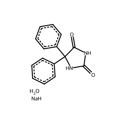 O.O=C1NC(=O)C(c2ccccc2)(c2ccccc2)N1.[NaH]